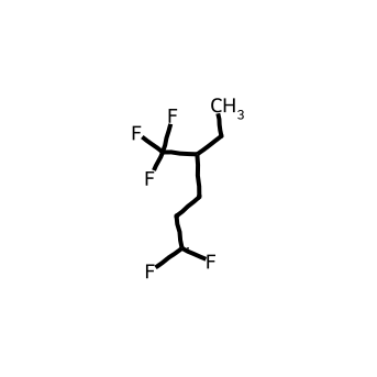 CCC(CC[C](F)F)C(F)(F)F